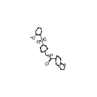 COc1ccccc1S(=O)(=O)c1ccc(CNC(=O)c2ccc3nccn3c2)cc1